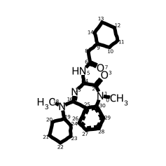 CN1C(=O)C(NC(=O)CC2CCCCC2)N=C(N(C)C2CCCCC2)c2ccccc21